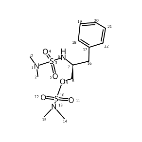 CN(C)S(=O)(=O)N[C@H](COS(=O)(=O)N(C)C)Cc1ccccc1